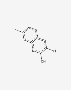 Cc1ccc2cc(Cl)c(O)nc2c1